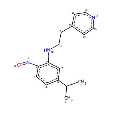 CC(C)c1ccc(N=O)c(NCCc2ccncc2)c1